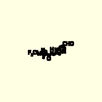 Cc1c(C(=O)NCc2cn3ncc(C=O)cc3n2)cnn1CCC(F)(F)F